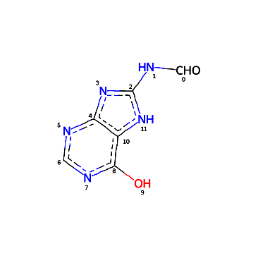 O=CNc1nc2ncnc(O)c2[nH]1